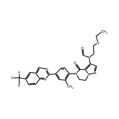 CCOCCN(C=O)c1cnn2c1C(=O)N(c1ccc(-c3ncc4cc(C(F)(F)F)ccc4n3)cc1C)CC2